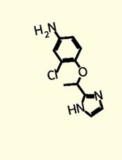 CC(Oc1ccc(N)cc1Cl)c1ncc[nH]1